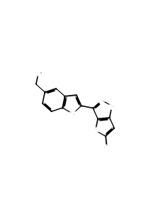 O=C(O)c1cc2[nH]nc(-c3cc4cc(CO)ccc4[nH]3)c2s1